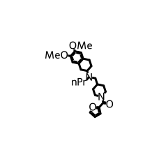 CCCN(CC1CCN(C(=O)c2ccco2)CC1)C1CCc2cc(OC)c(OC)cc2C1